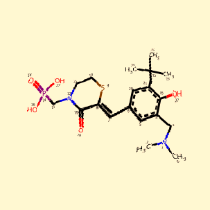 CN(C)Cc1cc(C=C2SCCN(CP(=O)(O)O)C2=O)cc(C(C)(C)C)c1O